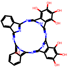 Oc1cc2c(c(O)c1O)-c1nc-2nc2c3ccccc3c(nc3nc(nc4[nH]c(n1)c1c(O)c(O)c(O)c(O)c41)-c1ccccc1-3)n2O